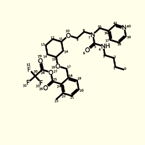 CCCCNC(=O)N(CCOC1CCCC(OCc2cccc(C)c2C(=O)OC(=O)C(F)(F)F)C1)Cc1cccnc1